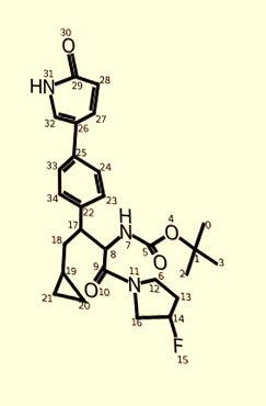 CC(C)(C)OC(=O)NC(C(=O)N1CCC(F)C1)C(CC1CC1)c1ccc(-c2ccc(=O)[nH]c2)cc1